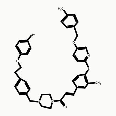 Cc1ccc(COc2ccc(Oc3ccc(C=CC(=O)N4CCN(Cc5ccc(CCOc6ccc(C(C)C)cc6)cc5)CC4)cc3C)nc2)cc1